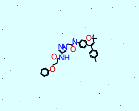 Cc1ccc(C2=CC(C)(C)Oc3cc(N(C)C(=O)Cn4cc(NC(=O)CCOc5ccccc5)cn4)ccc32)cc1